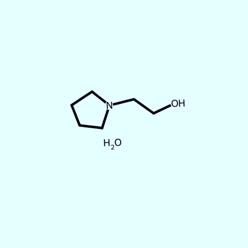 O.OCCN1CCCC1